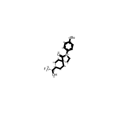 CC(C)(C)c1ccc(N2CC[C@]3(CC[C@@H]([C@H](O)C(F)(F)F)CC3)C2=O)cc1